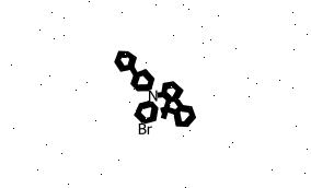 CC1(C)c2ccccc2-c2cccc(N(c3ccc(Br)cc3)c3ccc(-c4ccccc4)cc3)c21